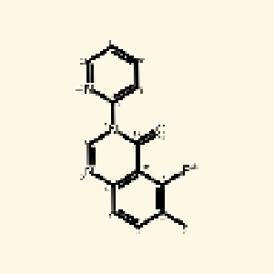 Cc1ccc2ncn(-c3ccccn3)c(=O)c2c1F